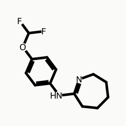 FC(F)Oc1ccc(NC2=NCCCCC2)cc1